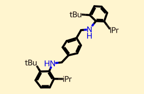 CC(C)c1cccc(C(C)(C)C)c1NCc1ccc(CNc2c(C(C)C)cccc2C(C)(C)C)cc1